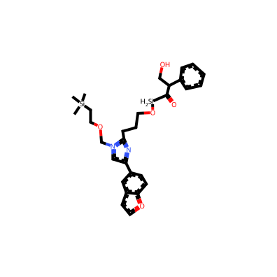 C[Si](C)(C)CCOCn1cc(-c2ccc3occc3c2)nc1CCCO[SiH2]C(=O)C(CO)c1ccccc1